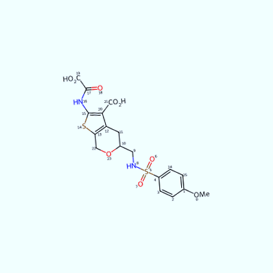 COc1ccc(S(=O)(=O)NCC2Cc3c(sc(NC(=O)C(=O)O)c3C(=O)O)CO2)cc1